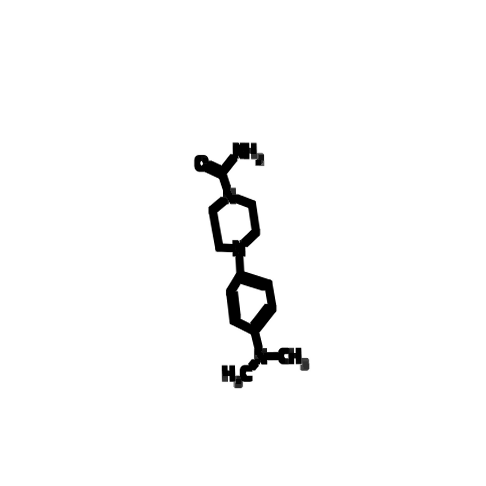 CN(C)c1ccc(N2CCN(C(N)=O)CC2)cc1